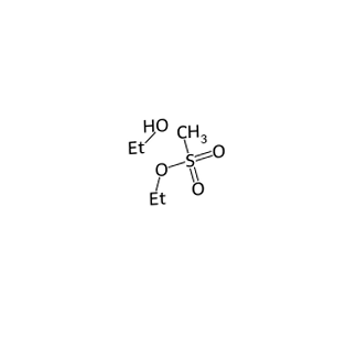 CCO.CCOS(C)(=O)=O